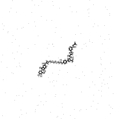 O=C1CCC(N2C(=O)c3ccc(NC4CN(CCOCCOCCNCc5ccc(-n6cc(NC(=O)c7coc(-c8ccnc(NCC9CC9)c8)n7)c(C(F)F)n6)cc5)C4)cc3C2=O)C(=O)N1